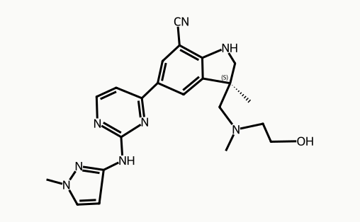 CN(CCO)C[C@]1(C)CNc2c(C#N)cc(-c3ccnc(Nc4ccn(C)n4)n3)cc21